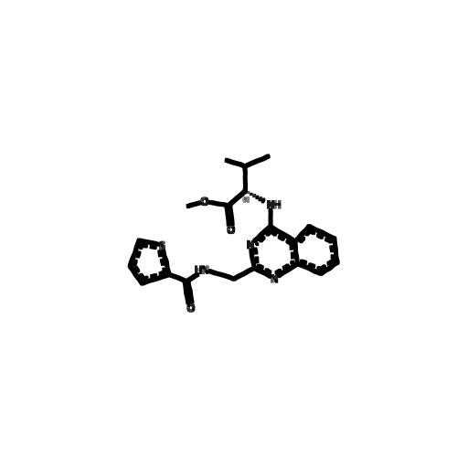 COC(=O)[C@@H](Nc1nc(CNC(=O)c2cccs2)nc2ccccc12)C(C)C